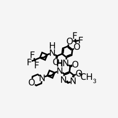 COc1ncnc(NC23CC(N4CCOCC4)(C2)C3)c1C(=O)Nc1cc2c(cc1C(=O)NC13CC(C(F)(F)F)(C1)C3)OC(F)(F)O2